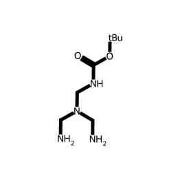 CC(C)(C)OC(=O)NCN(CN)CN